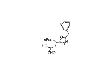 CCCCCC(CN(O)C=O)c1nnc(Cc2cccnc2)o1